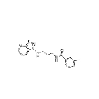 O=C(NCCCNc1nsc2ncccc12)c1cccc(I)c1